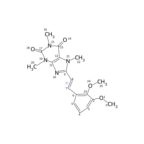 COc1cccc(/C=C/c2nc3c(c(=O)n(C)c(=O)n3C)n2C)c1OC